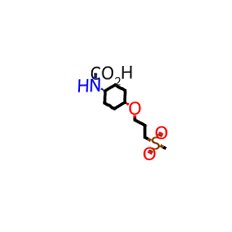 CS(=O)(=O)CCCO[C@H]1CC[C@H](NC(=O)O)CC1